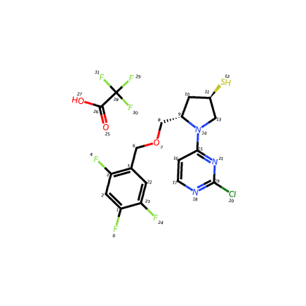 Fc1cc(F)c(COC[C@@H]2C[C@@H](S)CN2c2ccnc(Cl)n2)cc1F.O=C(O)C(F)(F)F